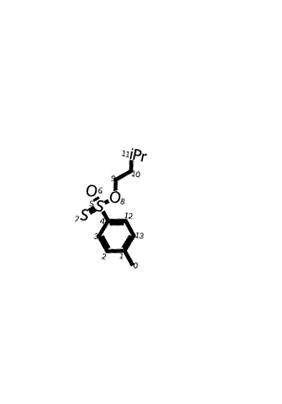 Cc1ccc(S(=O)(=S)OCCC(C)C)cc1